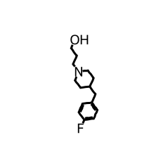 OCCCN1CCC(Cc2ccc(F)cc2)CC1